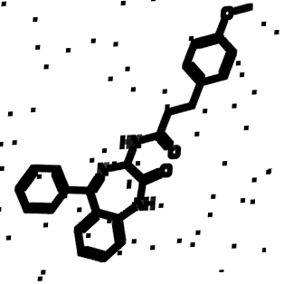 COc1ccc(CCC(=O)NC2N=C(c3ccccc3)c3ccccc3NC2=O)cc1